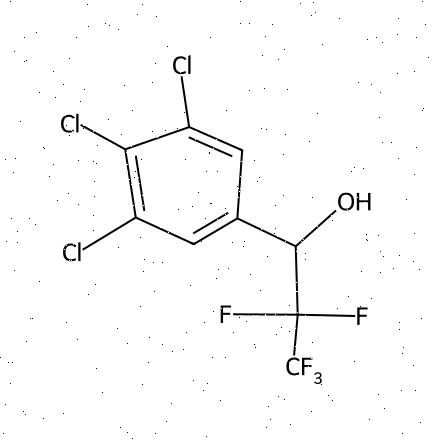 OC(c1cc(Cl)c(Cl)c(Cl)c1)C(F)(F)C(F)(F)F